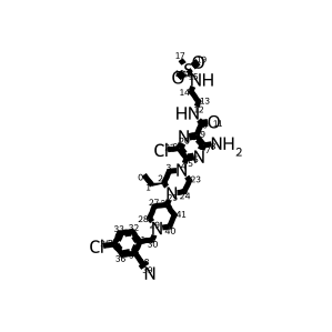 CC[C@H]1CN(c2nc(N)c(C(=O)NCCNS(C)(=O)=O)nc2Cl)CCN1C1CCN(Cc2ccc(Cl)cc2C#N)CC1